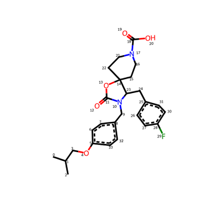 CC(C)COc1ccc(CN2C(=O)OC3(CCN(C(=O)O)CC3)C2Cc2ccc(F)cc2)cc1